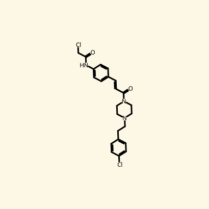 O=C(CCl)Nc1ccc(C=CC(=O)N2CCN(CCc3ccc(Cl)cc3)CC2)cc1